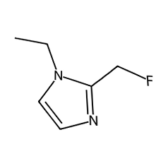 CCn1ccnc1CF